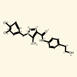 Cc1c(C(=O)Nc2ccc(CCO)cc2)nnn1Cc1ccc(Cl)c(Cl)c1